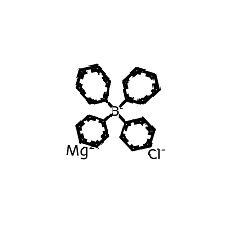 [Cl-].[Mg+2].c1ccc([B-](c2ccccc2)(c2ccccc2)c2ccccc2)cc1